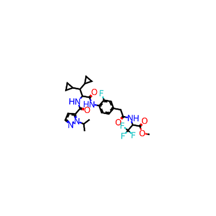 COC(=O)C(NC(=O)Cc1ccc(NC(=O)C(NC(=O)c2ccnn2C(C)C)C(C2CC2)C2CC2)c(F)c1)C(F)(F)F